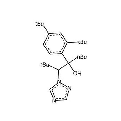 CCCCC(n1cncn1)C(O)(CCCC)c1ccc(C(C)(C)C)cc1C(C)(C)C